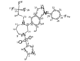 Cc1ncc(S(=O)(=O)N2CCCN(CCC(F)(F)F)C(c3cc4cnn(-c5ccc(F)cc5)c4cc3C)C2)s1